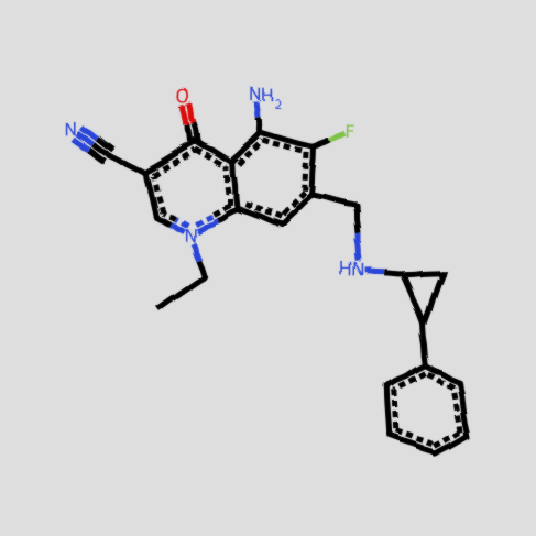 CCn1cc(C#N)c(=O)c2c(N)c(F)c(CNC3CC3c3ccccc3)cc21